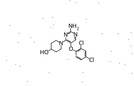 Nc1ncc(Oc2ccc(Cl)cc2Cl)c(N2CCC(O)CC2)n1